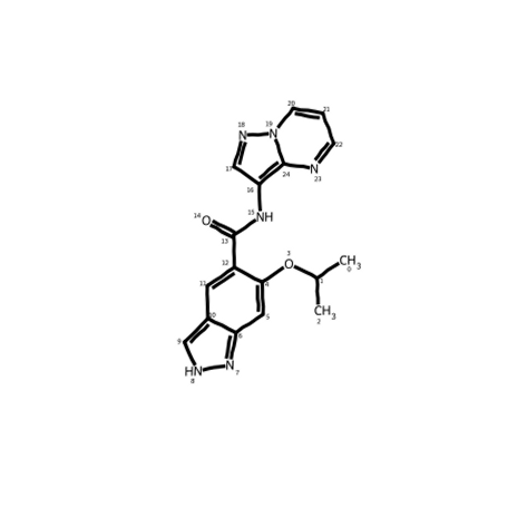 CC(C)Oc1cc2n[nH]cc2cc1C(=O)Nc1cnn2cccnc12